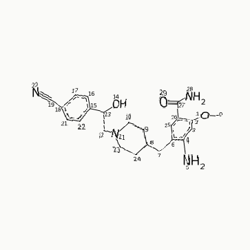 COc1cc(N)c(CC2CCN(CC(O)c3ccc(C#N)cc3)CC2)cc1C(N)=O